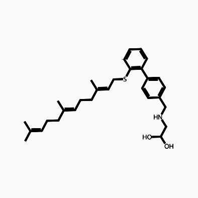 CC(C)=CCC/C(C)=C/CC/C(C)=C/CSc1[c]cccc1-c1ccc(CNCC(O)O)cc1